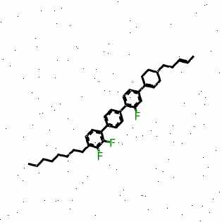 C/C=C/CCC1CC=C(c2ccc(-c3ccc(-c4ccc(CCCCCCCC)c(F)c4F)cc3)c(F)c2)CC1